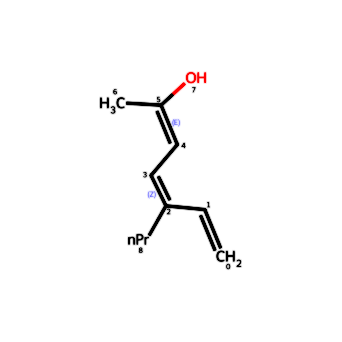 C=C/C(=C\C=C(/C)O)CCC